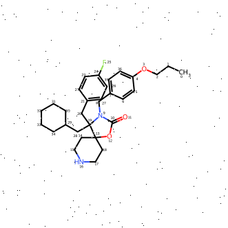 CCCOc1ccc(CN2C(=O)OC3(CCNCC3)C2(Cc2ccc(F)cc2)CC2CCCCC2)cc1